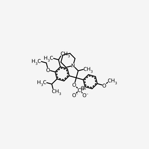 CCOc1c(C(C)C)cc(C(O[Cl+3]([O-])([O-])[O-])(c2ccc(OC)cc2)C(C)N2CCCCC2)cc1C(C)C